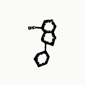 O=Cc1cncc2ncc(-c3ccccc3)cc12